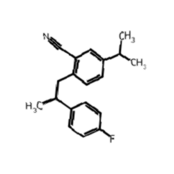 CC(C)c1ccc(CC(C)c2ccc(F)cc2)c(C#N)c1